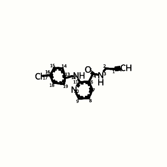 C#CCNC(=O)c1cccnc1Nc1ccc(Cl)cc1